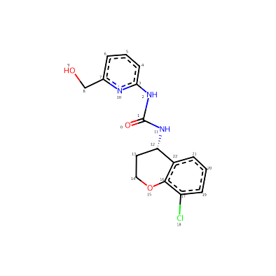 O=C(Nc1cccc(CO)n1)N[C@H]1CCOc2c(Cl)cccc21